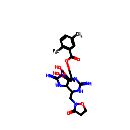 N=C1NC2C(CN3OCCC3=O)NC(=N)N3CC(OC(=O)c4cc(C(F)(F)F)ccc4C(F)(F)F)C(O)(O)C23N1